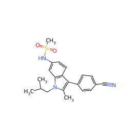 Cc1c(-c2ccc(C#N)cc2)c2ccc(NS(C)(=O)=O)cc2n1CC(C)C